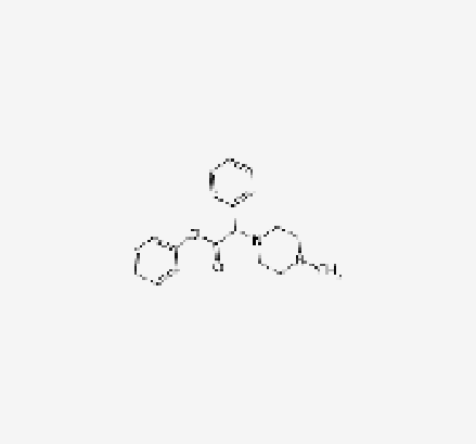 CN1CCN(C(C(=O)Oc2ccccc2)c2ccccc2)CC1